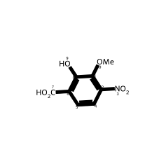 COc1c([N+](=O)[O-])ccc(C(=O)O)c1O